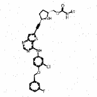 CCNC(=O)OC[C@H]1CC[C@H](C#Cc2cc3ncnc(Nc4ccc(OCc5cccc(F)c5)c(Cl)c4)c3s2)N1